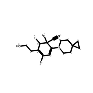 [2H]C1(C#N)C(N2CCC3(CC2)CC3)=CC(Br)=C(CCO)C1F